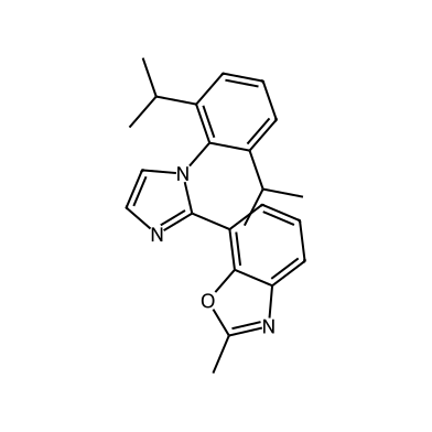 Cc1nc2cccc(-c3nccn3-c3c(C(C)C)cccc3C(C)C)c2o1